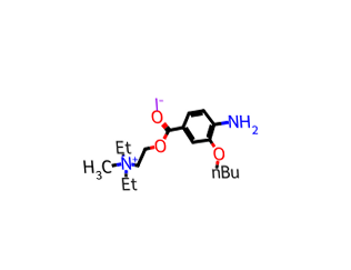 CCCCOc1cc(C(=O)OCC[N+](C)(CC)CC)ccc1N.[I-]